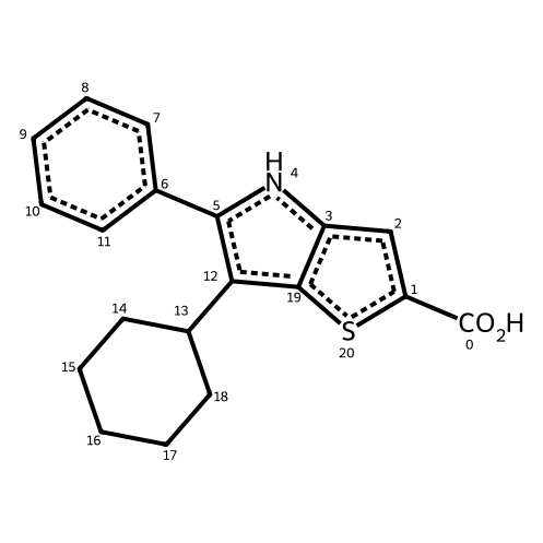 O=C(O)c1cc2[nH]c(-c3ccccc3)c(C3CCCCC3)c2s1